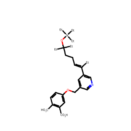 CCC(=CCCC(CC)(CC)O[Si](CC)(CC)CC)c1cncc(COc2ccc(C(=O)O)c(C(=O)O)c2)c1